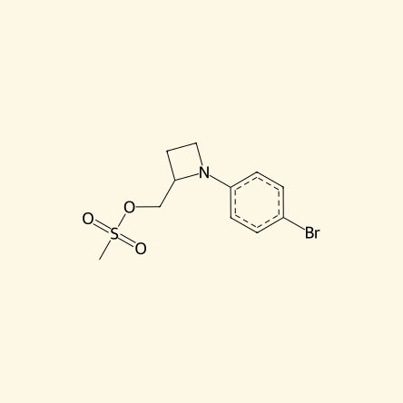 CS(=O)(=O)OCC1CCN1c1ccc(Br)cc1